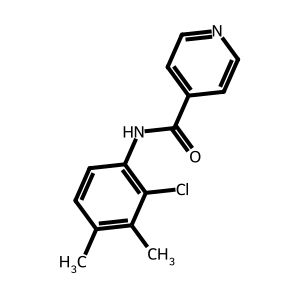 Cc1ccc(NC(=O)c2ccncc2)c(Cl)c1C